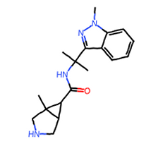 Cn1nc(C(C)(C)NC(=O)C2C3CNCC32C)c2ccccc21